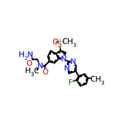 Cc1ccc(F)c(-c2cnc(-n3cc([S+](C)[O-])c4ccc(C(=O)N(C)CC(N)=O)cc43)nc2)c1